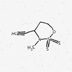 C#CC1CCOS(=S)(=S)N1C